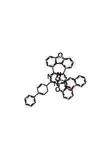 C1=CC(c2nc(-c3ccc4ccccc4c3)nc(-c3cccc4oc5cccc(-c6ccc7oc8ccccc8c7c6)c5c34)n2)CC=C1c1ccccc1